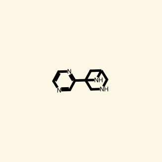 c1cnc(C23CNCC(C2)N3)cn1